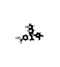 Cc1cc(-n2c(C(C)C)c([C@H]3CC[C@H](C(=O)O)CC3)c3nc4[nH]ncc4cc32)ccc1F